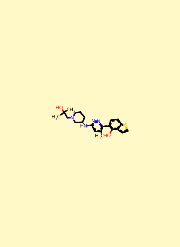 Cc1cc(N[C@@H]2CCCN(CC(C)(C)O)C2)nnc1-c1ccc2sccc2c1O